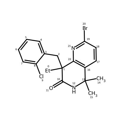 CCC1(Cc2ccccc2Cl)C(=O)NC(C)(C)c2ccc(Br)nc21